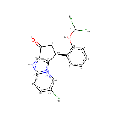 O=C1C[C@@H](c2ccccc2OC(F)F)c2c1nc1ccc(Br)cn21